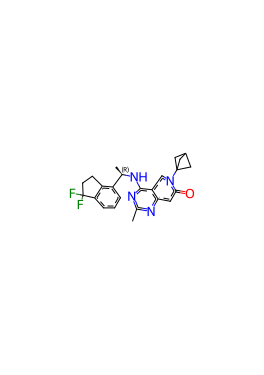 Cc1nc(N[C@H](C)c2cccc3c2CCC3(F)F)c2cn(C34CC(C3)C4)c(=O)cc2n1